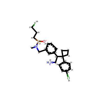 CN(Cc1cccc(C(CN)C2(c3ccc(Cl)cc3)CCC2)c1)[S+]([O-])CCCF